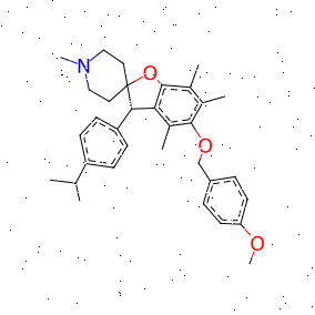 COc1ccc(COc2c(C)c(C)c3c(c2C)C(c2ccc(C(C)C)cc2)C2(CCN(C)CC2)O3)cc1